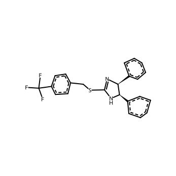 FC(F)(F)c1ccc(CSC2=N[C@@H](c3ccccc3)[C@@H](c3ccccc3)N2)cc1